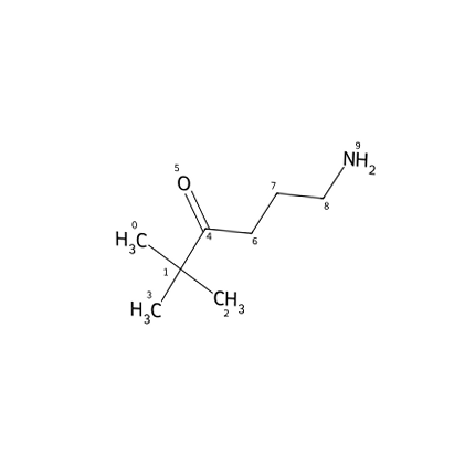 CC(C)(C)C(=O)CCCN